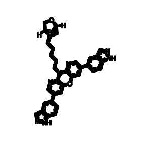 c1cc2[nH]ncc2cc1-c1cnc2c(c1)Oc1cc(-c3ccc4[nH]ncc4c3)cnc1N2CCCCCN1C[C@@H]2C[C@H]1CO2